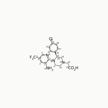 Nc1cc(C(F)(F)F)cnc1N1CCN(CC(=O)O)C[C@@H]1c1ccc(Cl)cc1